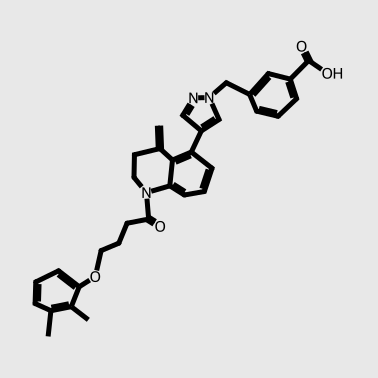 C=C1CCN(C(=O)CCCOc2cccc(C)c2C)c2cccc(-c3cnn(Cc4cccc(C(=O)O)c4)c3)c21